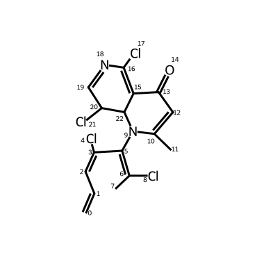 C=C/C=C(Cl)\C(=C(/C)Cl)N1C(C)=CC(=O)C2=C(Cl)N=CC(Cl)C21